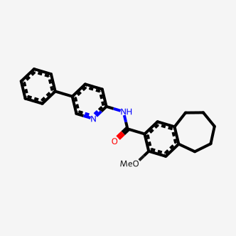 COc1cc2c(cc1C(=O)Nc1ccc(-c3ccccc3)cn1)CCCCC2